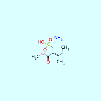 CCC(C)=C(CS(=O)(=O)O)C(=O)OC.N